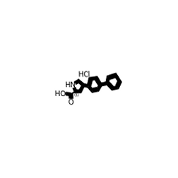 Cl.O=C(O)[C@@H]1CC(c2ccc(-c3ccccc3)cc2)CN1